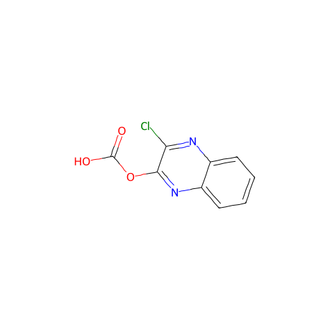 O=C(O)Oc1nc2ccccc2nc1Cl